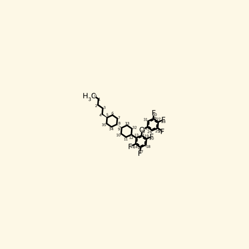 CCCCC[C@H]1CC[C@H](C2CCC(c3c(F)c(F)[c]c(F)c3Oc3cc(F)c(F)c(F)c3)CC2)CC1